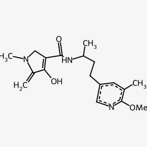 C=C1C(O)=C(C(=O)NC(C)CCc2cnc(OC)c(C)c2)CN1C